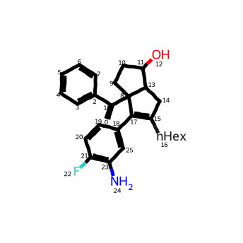 C=C(c1ccccc1)C12CCC(O)C1CC(CCCCCC)=C2c1ccc(F)c(N)c1